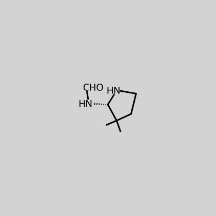 CC1(C)CCN[C@H]1NC=O